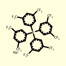 FC(F)(F)c1cc([B-](c2cc(C(F)(F)F)cc(C(F)(F)F)c2)(c2cc(C(F)(F)F)cc(C(F)(F)F)c2)c2cc(C(F)(F)F)cc(C(F)(F)F)c2)cc(C(F)(F)F)c1.[Na+]